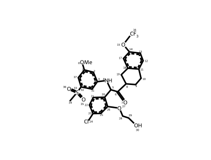 COc1cc(NC(C(=O)C2CCc3ccc(OC(F)(F)F)cc3C2)c2ccc(Cl)cc2OCCO)cc(S(C)(=O)=O)c1